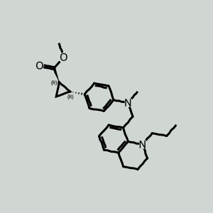 CCCN1CCCc2cccc(CN(C)c3ccc([C@@H]4C[C@H]4C(=O)OC)cc3)c21